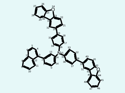 c1cc(-c2cccc3ccccc23)cc(N(c2ccc(-c3ccc4oc5ccccc5c4c3)cc2)c2ccc(-c3ccc4oc5ccccc5c4c3)cc2)c1